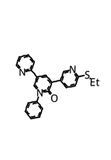 CCSc1ccc(-c2cc(-c3ccccn3)cn(-c3ccccc3)c2=O)cn1